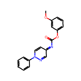 COc1cccc(OC(=O)N=c2ccn(-c3ccccc3)nc2)c1